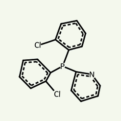 Clc1ccccc1P(c1ccccn1)c1ccccc1Cl